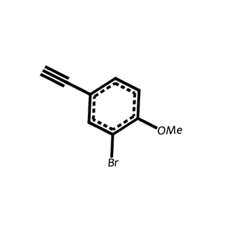 C#Cc1ccc(OC)c(Br)c1